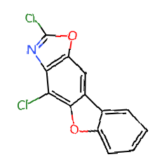 Clc1nc2c(Cl)c3oc4ccccc4c3cc2o1